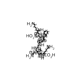 CC[C@H](C)[C@H](NC(=O)[C@H](CCC(N)=O)NC(=O)CNC(=O)CNC(=O)[C@H](Cc1ccccc1)NC(=O)[C@H](CC(=O)O)NC(=O)[C@@H](N)CCCCN)C(=O)N[C@@H](CCCCN)C(=O)O